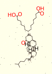 CC(C)CCC[C@@H](C)[C@H]1CC[C@H]2[C@@H]3CC=C4C[C@@H](C(CCCCCCC(=O)O)CCCCCC(=O)O)CC(=O)[C@]4(C)[C@H]3CC[C@]12C